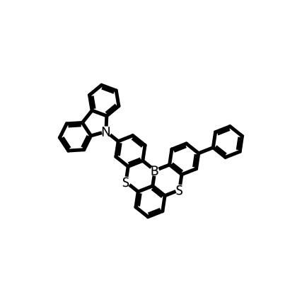 c1ccc(-c2ccc3c(c2)Sc2cccc4c2B3c2ccc(-n3c5ccccc5c5ccccc53)cc2S4)cc1